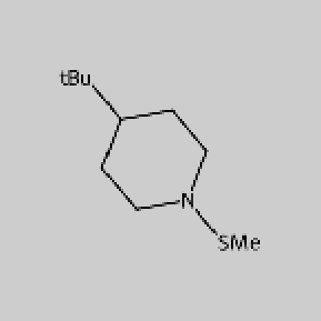 CSN1CCC(C(C)(C)C)CC1